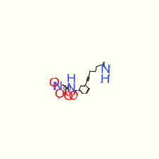 C=C(CCCC#Cc1cccc(C(=O)N[C@H](CN=O)C(=O)OC)c1)NC